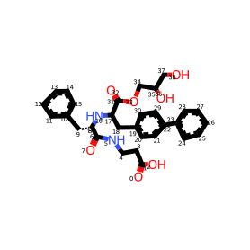 O=C(O)CCNC(=O)[C@H](Cc1ccccc1)NC(Cc1ccc(-c2ccccc2)cc1)C(=O)OCC(O)CO